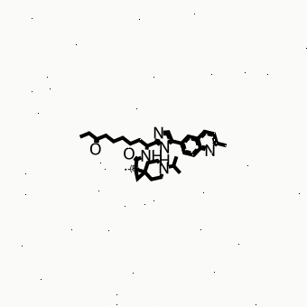 CCC(=O)CCCCCC(NC(=O)[C@]1(C)CC12CCN(C(C)C)CC2)c1ncc(-c2ccc3nc(C)ccc3c2)[nH]1